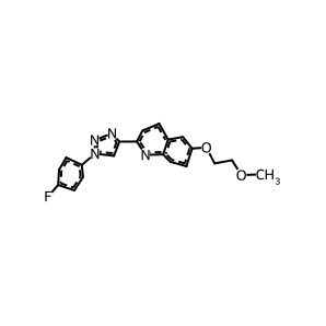 COCCOc1ccc2nc(-c3cn(-c4ccc(F)cc4)nn3)ccc2c1